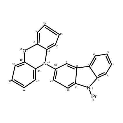 CC(C)n1c2ccccc2c2cc(N3c4ccccc4Oc4ccccc43)ccc21